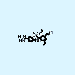 [CH2]COc1c(C=CCl)cc(CC)cc1C(Nc1ccc(C(=N)N)cc1)C(=O)OC